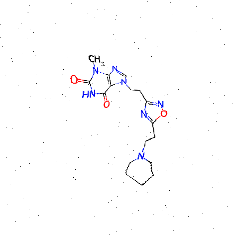 Cn1c(=O)[nH]c(=O)c2c1ncn2CCc1noc(CCN2CCCCC2)n1